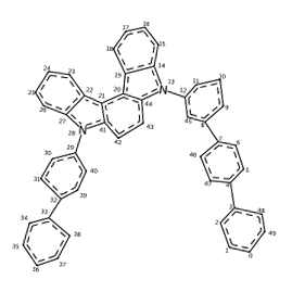 c1ccc(-c2ccc(-c3cccc(-n4c5ccccc5c5c6c7ccccc7n(-c7ccc(-c8ccccc8)cc7)c6ccc54)c3)cc2)cc1